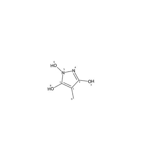 Cc1c(O)nn(O)c1O